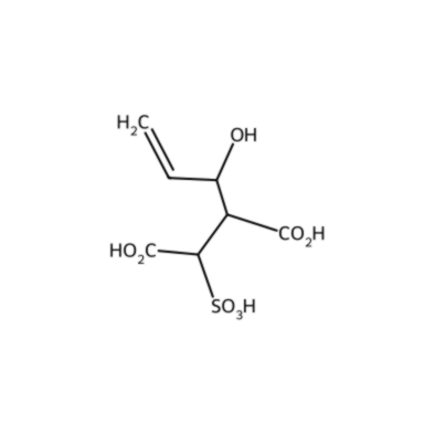 C=CC(O)C(C(=O)O)C(C(=O)O)S(=O)(=O)O